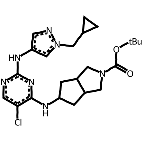 CC(C)(C)OC(=O)N1CC2CC(Nc3nc(Nc4cnn(CC5CC5)c4)ncc3Cl)CC2C1